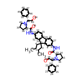 CCCC1(CCC)c2cc(NC(=O)[C@@H]3CCCN3[C@@H](C=O)c3ccccc3)ccc2-c2ccc(NC(=O)[C@@H]3CCCN3[C@@H](C=O)c3ccccc3)cc21